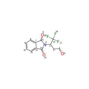 O=CCC(N1C(=O)c2ccccc2C1=O)C(F)(F)F